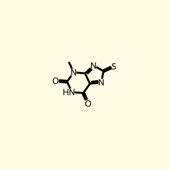 Cn1c(=O)[nH]c(=O)c2c1=NC(=S)N=2